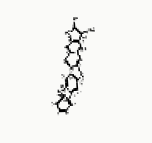 Ic1sc2cc3cc4c(cc3cc2c1I)sc1cc2c(cc14)sc1ccccc12